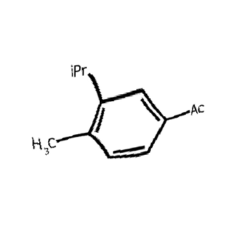 CC(=O)c1ccc(C)c(C(C)C)c1